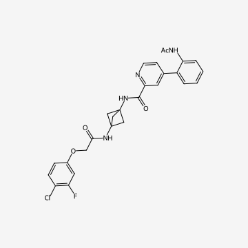 CC(=O)Nc1ccccc1-c1ccnc(C(=O)NC23CC(NC(=O)COc4ccc(Cl)c(F)c4)(C2)C3)c1